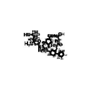 COc1ccc2c(c1)S[C@@H](NC(=O)CC(C)(C)NC[C@@H](C)O)C(=O)N(Cc1ccc(-c3ccccc3)c(CNC(=O)NCCO)c1)C2